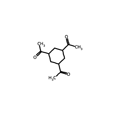 CC(=O)C1CC(C(C)=O)CC(C(C)=O)C1